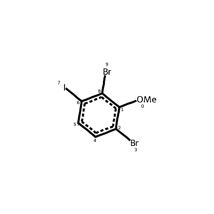 COc1c(Br)c[c]c(I)c1Br